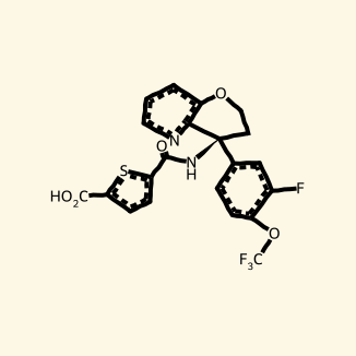 O=C(O)c1ccc(C(=O)N[C@]2(c3ccc(OC(F)(F)F)c(F)c3)CCOc3cccnc32)s1